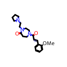 COc1ccccc1/C=C/C(=O)N1CCC(=O)N(CCN2CCCC2)CC1